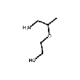 CC(CN)OCCO